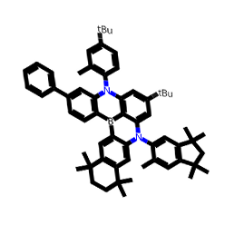 Cc1cc(C(C)(C)C)ccc1N1c2cc(-c3ccccc3)ccc2B2c3cc4c(cc3N(c3cc5c(cc3C)C(C)(C)CC5(C)C)c3cc(C(C)(C)C)cc1c32)C(C)(C)CCC4(C)C